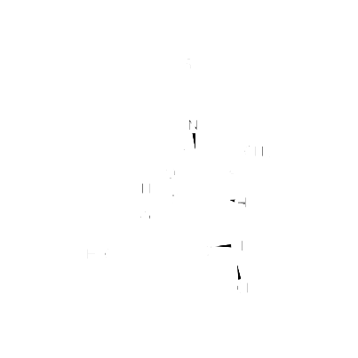 C[C@@H]1[C@@H]2CC[C@@H](C)[C@@H]3CC[C@H](C)O[C@@H](O[C@H]1N1CCSCC1)C23